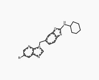 Brc1cnc2c(c1)ncn2Cc1ccc2nc(NC3CCCCC3)oc2c1